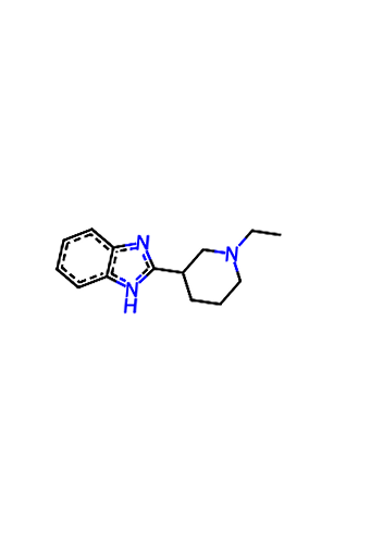 CCN1CCCC(c2nc3ccccc3[nH]2)C1